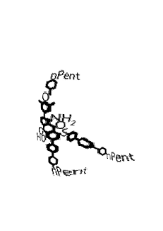 CCCCCC1CCC(COc2c(C)cc(-c3ccc4c(c3N)C(=O)c3c(Sc5ccc(-c6ccc(C7CCC(CCCCC)CC7)cc6)cc5)cc(-c5ccc(C6CCC(CCCCC)CC6)cc5)c(O)c3C4=O)cc2C)CC1